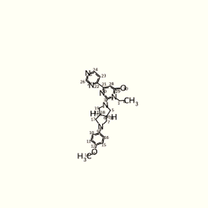 CCn1c(N2C[C@H]3CN(c4ccc(OC)cc4)C[C@H]3C2)nc(-c2ccncn2)cc1=O